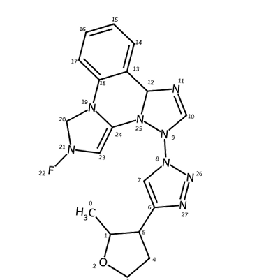 CC1OCCC1c1cn(N2C=NC3c4ccccc4N4CN(F)C=C4N32)nn1